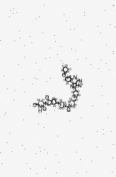 Nc1ncnc2c1c(-c1ccc(Oc3ccccc3)cc1)nn2C1CCN(CC2CCN(C(=O)N3CCN(c4ccc5c(c4)CN(C4CCC(=O)NC4=O)C5=O)CC3)CC2)CC1